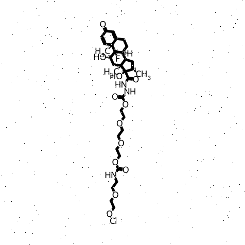 C[C@@H]1CC2[C@@H]3CCC4=CC(=O)C=C[C@]4(C)[C@@]3(F)[C@@H](O)C[C@]2(C)[C@@]1(O)C(=O)NNC(=O)OCCOCCOCCOC(=O)NCCOCCOCl